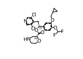 O=C(O[C@@H](Cc1c(Cl)cncc1Cl)c1ccc(OC(F)F)c(OCC2CC2)c1)[C@@H]1CNCCO1